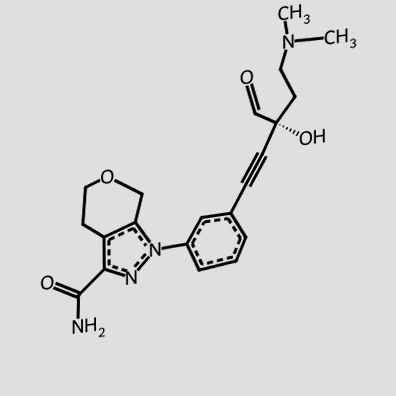 CN(C)CC[C@@](O)(C#Cc1cccc(-n2nc(C(N)=O)c3c2COCC3)c1)C=O